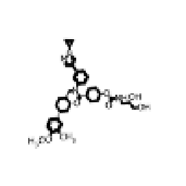 COc1ccc([C@H]2CC[C@H](CN(c3cccc(-c4cnn(C5CC5)c4)c3)C(=O)[C@H]3CC[C@H](OC(=O)NC[C@H](O)CO)CC3)CC2)cc1C